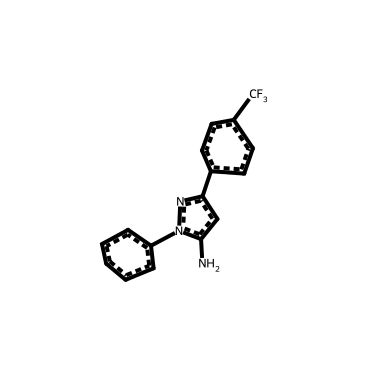 Nc1cc(-c2ccc(C(F)(F)F)cc2)nn1-c1ccccc1